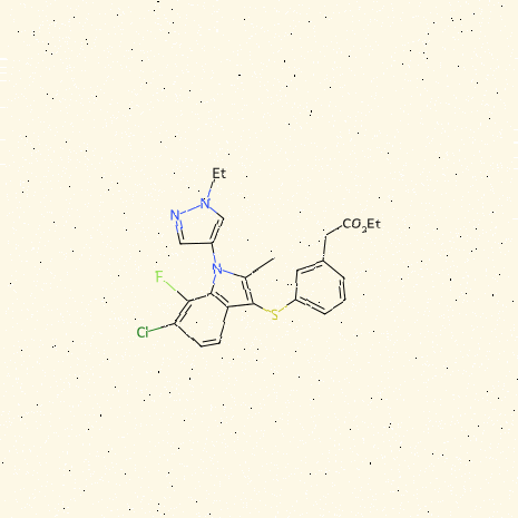 CCOC(=O)Cc1cccc(Sc2c(C)n(-c3cnn(CC)c3)c3c(F)c(Cl)ccc23)c1